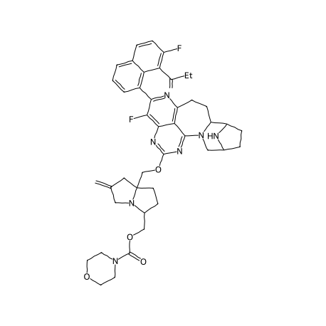 C=C1CN2C(COC(=O)N3CCOCC3)CCC2(COc2nc3c4c(nc(-c5cccc6ccc(F)c(C(=C)CC)c56)c(F)c4n2)CCC2C4CCC(CN32)N4)C1